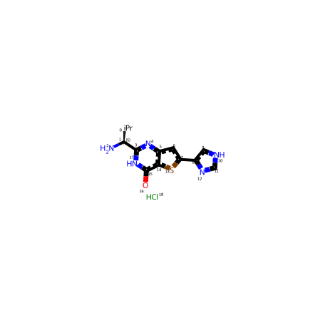 CC(C)[C@H](N)c1nc2cc(-c3c[nH]cn3)sc2c(=O)[nH]1.Cl